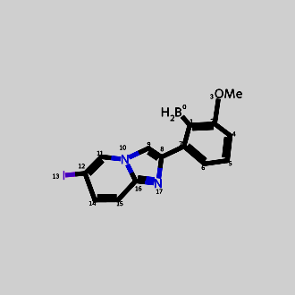 Bc1c(OC)cccc1-c1cn2cc(I)ccc2n1